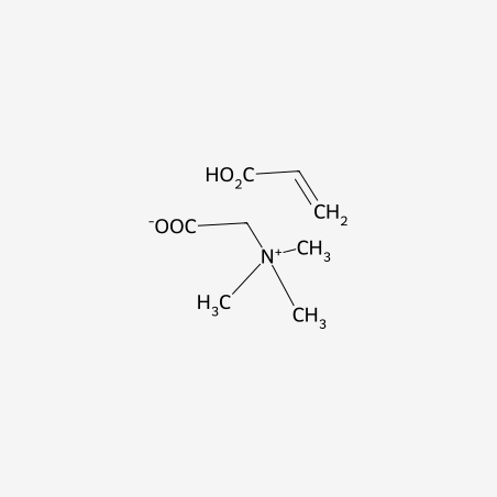 C=CC(=O)O.C[N+](C)(C)CC(=O)[O-]